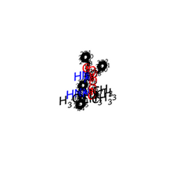 CC1N(C(=O)OC(C)(C)C)c2cc(N(NC(=O)OCc3ccccc3)C(=O)OCc3ccccc3)ccc2NC1(C)c1ccccc1